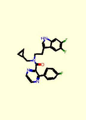 O=C(c1nccnc1-c1ccc(F)cc1)N(CCc1c[nH]c2cc(F)c(F)cc12)CC1CC1